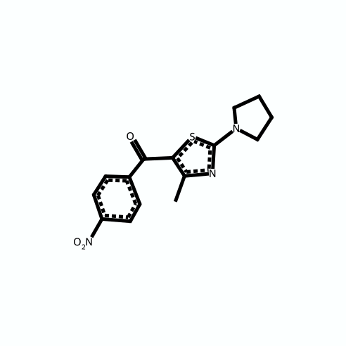 Cc1nc(N2CCCC2)sc1C(=O)c1ccc([N+](=O)[O-])cc1